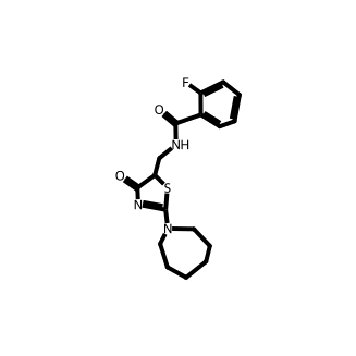 O=C(NCC1SC(N2CCCCCC2)=NC1=O)c1ccccc1F